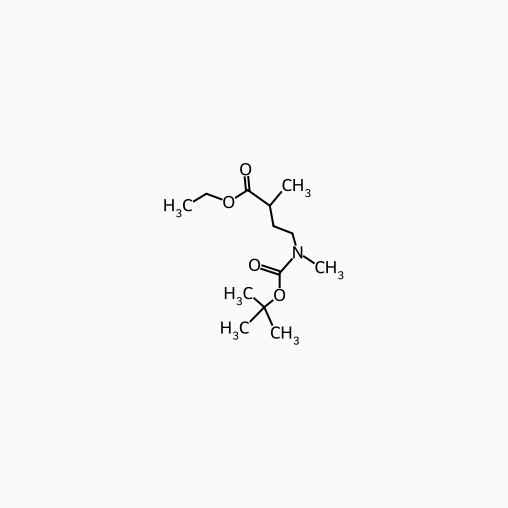 CCOC(=O)C(C)CCN(C)C(=O)OC(C)(C)C